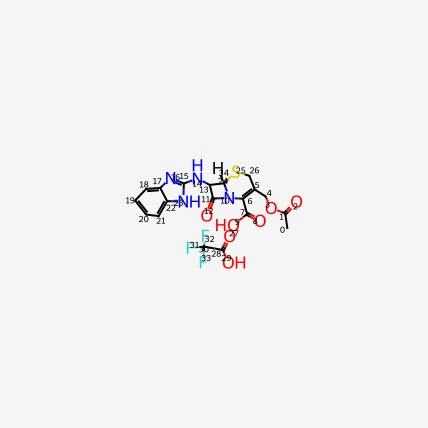 CC(=O)OCC1=C(C(=O)O)N2C(=O)C(Nc3nc4ccccc4[nH]3)[C@@H]2SC1.O=C(O)C(F)(F)F